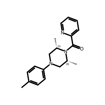 Cc1ccc(N2C[C@@H](C)N(C(=O)c3ccccn3)[C@@H](C)C2)cc1